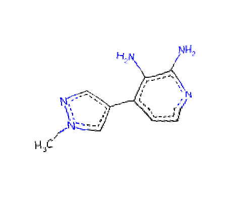 Cn1cc(-c2ccnc(N)c2N)cn1